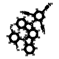 N#Cc1cc(C#N)c(-n2c3ccccc3c3c2ccc2c4ccccc4n(-c4cc(F)ccc4F)c23)c(C#N)c1